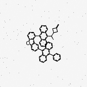 C=C1CC(C(C)c2c3ccccc3c(-c3cccc4oc5ccc(-c6c7ccccc7c(-c7ccccc7)c7ccccc67)cc5c34)c3ccccc23)C1